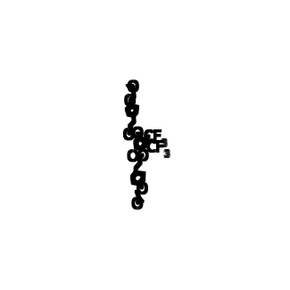 O=C(CCc1ccc(OCC2CO2)cc1)Oc1ccc(OC(=O)CCc2ccc(OCC3CO3)cc2)c(C(F)(F)F)c1C(F)(F)F